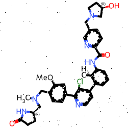 COc1cc(-c2nccc(-c3cccc(NC(=O)c4ccc(CN5CC[C@@H](O)C5)cn4)c3C)c2Cl)ccc1CN(C)C[C@H]1CCC(=O)N1